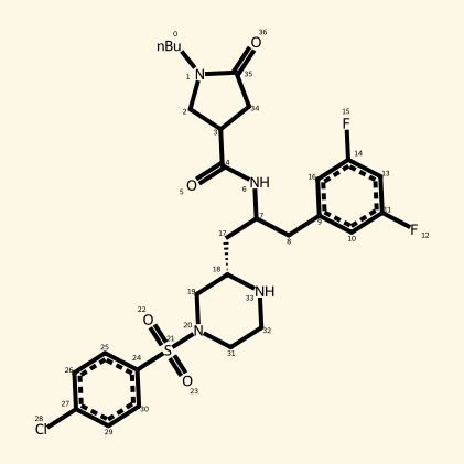 CCCCN1CC(C(=O)NC(Cc2cc(F)cc(F)c2)C[C@H]2CN(S(=O)(=O)c3ccc(Cl)cc3)CCN2)CC1=O